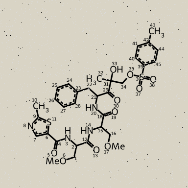 COCC(NC(=O)c1cnc(C)s1)C(=O)NC(COC)C(=O)NC(Cc1ccccc1)C(=O)C(C)(O)COS(=O)(=O)c1ccc(C)cc1